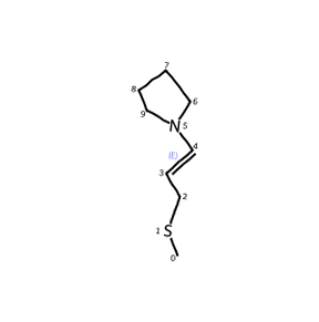 CSC/C=C/N1CCCC1